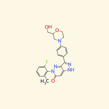 Cc1cccc(F)c1-n1nc2c(-c3ccc(N4CCOC(CO)C4)cc3)n[nH]c2cc1=O